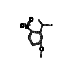 [CH2]C(C)c1cc(OC)ccc1[N+](=O)[O-]